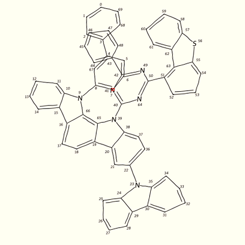 c1ccc(-c2cccc(-n3c4ccccc4c4ccc5c6cc(-n7c8ccccc8c8ccccc87)ccc6n(-c6nc(-c7ccccc7)nc(-c7cccc8sc9ccccc9c78)n6)c5c43)c2)cc1